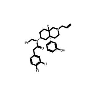 C=CCN1CC[C@@]2(c3cccc(O)c3)C[C@H](N(CC(C)C)C(=O)Cc3ccc(Cl)c(Cl)c3)CC[C@@H]2C1